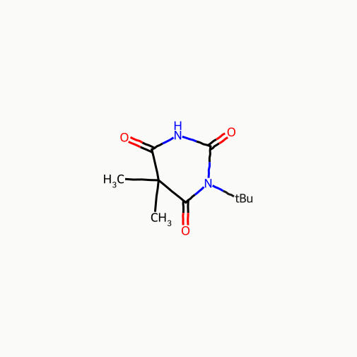 CC1(C)C(=O)NC(=O)N(C(C)(C)C)C1=O